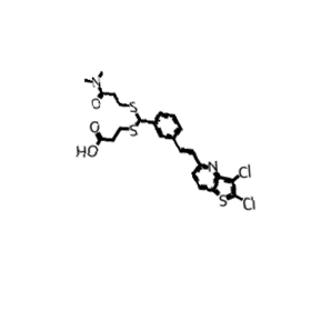 CN(C)C(=O)CCSC(SCCC(=O)O)c1cccc(/C=C/c2ccc3sc(Cl)c(Cl)c3n2)c1